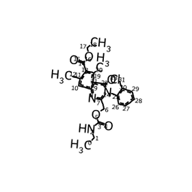 CCNC(=O)OCc1nc2cc(C)c(C(=O)OCC)c(C)c2c(=O)n1-c1ccccc1Cl